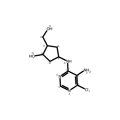 Nc1c(Cl)ncnc1NC1CC(O)C(CO)C1